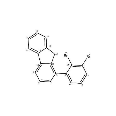 Brc1cccc(-c2cccc3c2Cc2ccccc2-3)c1Br